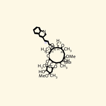 CO[C@]1(C)C[C@H](O[C@H]2[C@H](C)[C@@H](C(C)(C)C)[C@](C)(OC)C[C@@H](C)C(=O)[C@H](C)[C@@H](OC/C=C/c3cnc4ccccc4c3)[C@](C)(O)[C@@H](I)OC(=O)[C@@H]2C)O[C@@H](C)[C@@H]1O